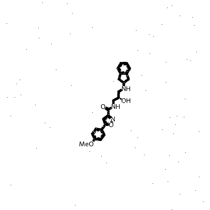 COc1ccc(-c2cc(C(=O)NC[C@H](O)CNC3Cc4ccccc4C3)no2)cc1